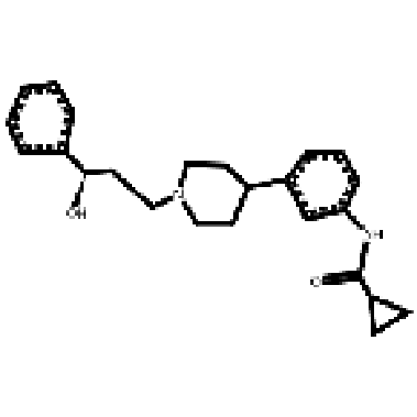 O=C(Nc1cccc(C2CCN(CC[C@@H](O)c3ccccc3)CC2)c1)C1CC1